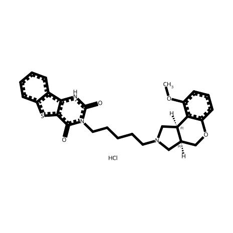 COc1cccc2c1[C@@H]1CN(CCCCCn3c(=O)[nH]c4c(sc5ccccc54)c3=O)C[C@@H]1CO2.Cl